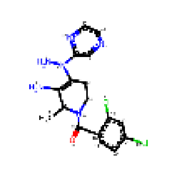 CC1C(N)=C(N(N)c2cnccn2)CCN1C(=O)c1ccc(Cl)cc1Cl